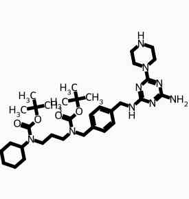 CC(C)(C)OC(=O)N(CCCN(C(=O)OC(C)(C)C)C1CCCCC1)Cc1ccc(CNc2nc(N)nc(N3CCNCC3)n2)cc1